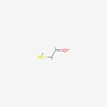 O=C[CH]S